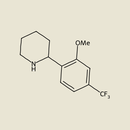 COc1cc(C(F)(F)F)ccc1C1CCCCN1